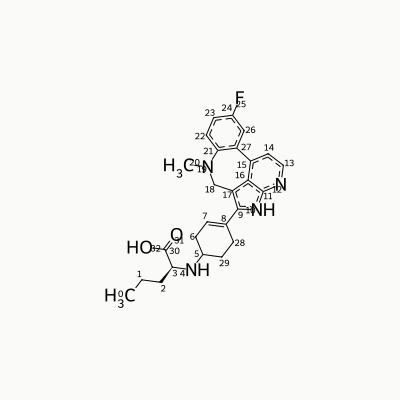 CCC[C@H](NC1CC=C(c2[nH]c3nccc4c3c2CN(C)c2ccc(F)cc2-4)CC1)C(=O)O